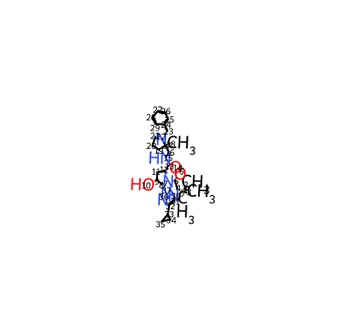 CC(C)(C)[C@@H](C(=O)N1C[C@H](O)C[C@H]1C(=O)NCC1(C)CCCN1Cc1ccccc1)n1cc(C2CC2)nn1